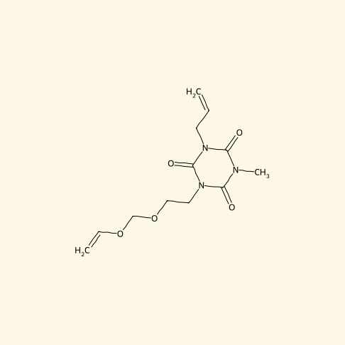 C=CCn1c(=O)n(C)c(=O)n(CCOCOC=C)c1=O